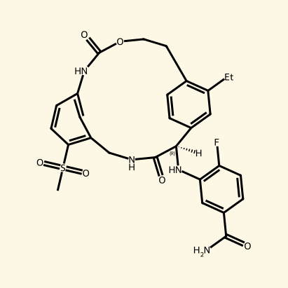 CCc1cc2ccc1CCOC(=O)Nc1ccc(S(C)(=O)=O)c(c1)CNC(=O)[C@@H]2Nc1cc(C(N)=O)ccc1F